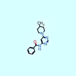 CC1CCN(c2cc(NC(=O)c3ccccc3)ncn2)CC1